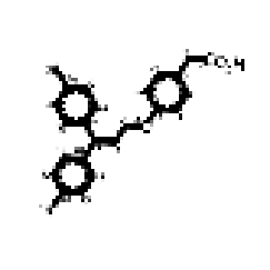 O=C(O)Cc1ccc(OCC=C(c2ccc(I)cc2)c2ccc(I)cc2)cc1